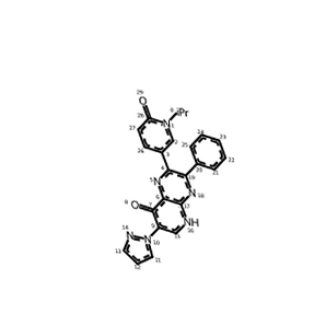 CC(C)n1cc(-c2nc3c(=O)c(-n4cccn4)c[nH]c3nc2-c2ccccc2)ccc1=O